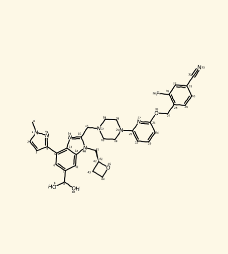 Cn1ccc(-c2cc(C(O)O)cc3c2nc(CN2CCN(c4cccc(OCc5ccc(C#N)cc5F)n4)CC2)n3C[C@@H]2CCO2)n1